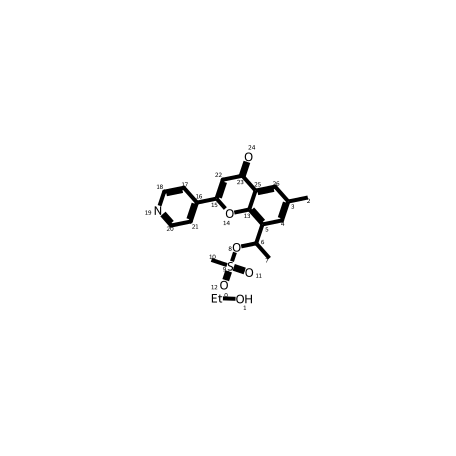 CCO.Cc1cc(C(C)OS(C)(=O)=O)c2oc(-c3ccncc3)cc(=O)c2c1